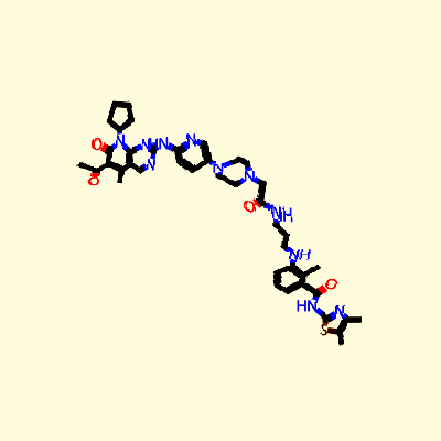 CC(=O)c1c(C)c2cnc(Nc3ccc(N4CCN(CC(=O)NCCCNc5cccc(C(=O)Nc6nc(C)c(C)s6)c5C)CC4)cn3)nc2n(C2CCCC2)c1=O